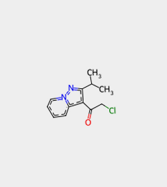 CC(C)c1nn2ccccc2c1C(=O)CCl